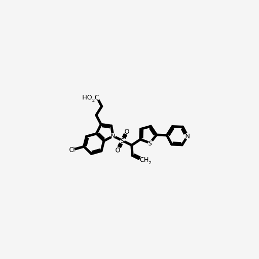 C=CC(c1ccc(-c2ccncc2)s1)S(=O)(=O)n1cc(CCC(=O)O)c2cc(Cl)ccc21